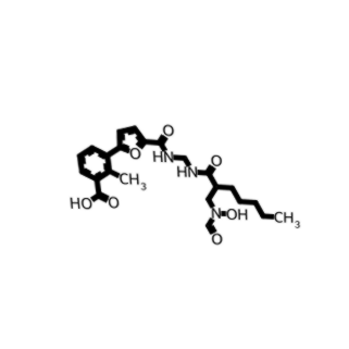 CCCCCC(CN(O)C=O)C(=O)NCNC(=O)c1ccc(-c2cccc(C(=O)O)c2C)o1